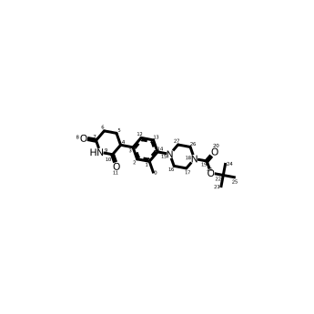 Cc1cc(C2CCC(=O)NC2=O)ccc1N1CCN(C(=O)OC(C)(C)C)CC1